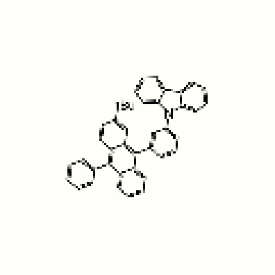 CC(C)(C)c1ccc2c(-c3ccccc3)c3ccccc3c(-c3cccc(-n4c5ccccc5c5ccccc54)c3)c2c1